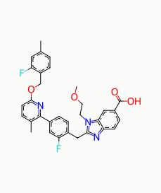 COCCn1c(Cc2ccc(-c3nc(OCc4ccc(C)cc4F)ccc3C)cc2F)nc2ccc(C(=O)O)cc21